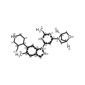 Cc1nc(N2C[C@H]3C[C@@H]2CO3)cc(-n2ncc3cc(C)c(C4CCNCC4F)cc32)n1